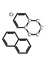 C1=C[C-]2[CH-][CH-][CH-][CH-][C-]2C=C1.[Cr].c1ccc2ccccc2c1